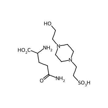 NC(=O)CCC(N)C(=O)O.O=S(=O)(O)CCN1CCN(CCO)CC1